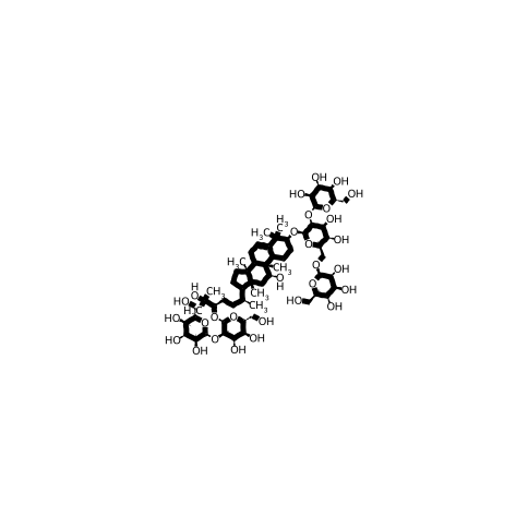 C[C@H](CC[C@@H](O[C@@H]1O[C@H](CO)[C@@H](O)[C@H](O)[C@H]1O[C@H]1O[C@@H](CO)[C@H](O)[C@@H](O)[C@@H]1O)C(C)(C)O)C1CC[C@@]2(C)C3CC=C4C(CC[C@H](O[C@@H]5O[C@H](CO[C@@H]6O[C@H](CO)[C@@H](O)[C@H](O)[C@H]6O)[C@@H](O)[C@H](O)[C@H]5O[C@H]5O[C@@H](CO)[C@H](O)[C@@H](O)[C@@H]5O)C4(C)C)[C@]3(C)[C@H](O)C[C@]12C